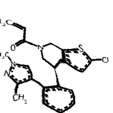 C=CC(=O)N1Cc2sc(Cl)cc2[C@@H](c2ccccc2-c2cn(C)nc2C)C1